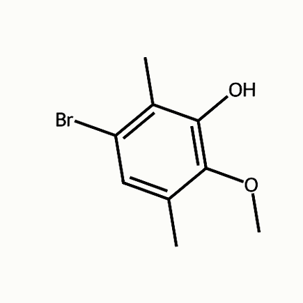 COc1c(C)cc(Br)c(C)c1O